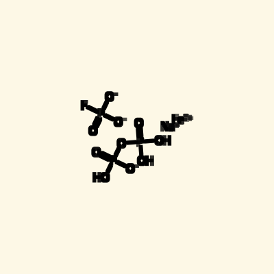 O=P([O-])(O)OP(=O)(O)O.O=P([O-])([O-])F.[Fe+2].[Na+]